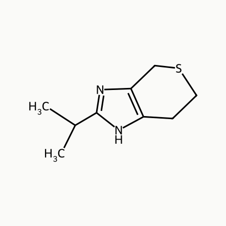 CC(C)c1nc2c([nH]1)CCSC2